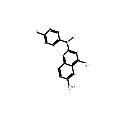 COc1ccc2nc(N(C)c3ccc(C)cc3)cc(C(F)(F)F)c2c1